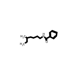 CCC(C)CCCCNC(=O)c1ccccc1